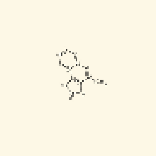 Cc1cc2ccccc2c2c1COC2